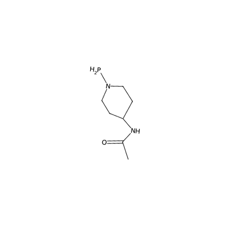 CC(=O)NC1CCN(P)CC1